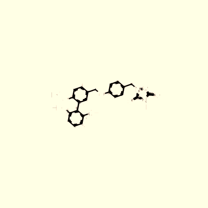 COc1ccc(COc2ccc(Cn3oc(=O)[nH]c3=O)cc2)cc1-c1c(C)cccc1C